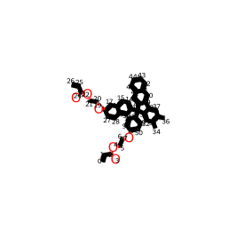 C=CC(=O)OCCOc1ccc(C2(c3ccc4cc(OCCOC(=O)C=C)ccc4c3)c3cc(C)c(C)cc3-c3cc4ccccc4cc32)cc1